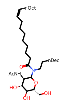 CCCCCCCC/C=C\CCCCCCCC(=O)N(CCCCCCCCCCCC)C1O[C@H](CO)[C@@H](O)[C@H](O)[C@H]1NC(C)=O